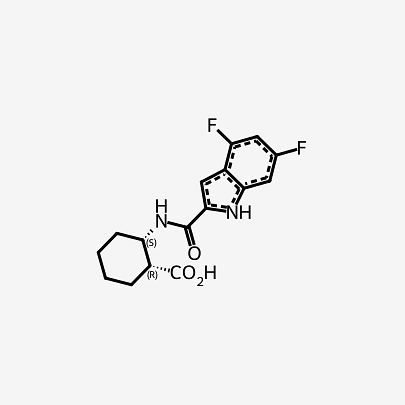 O=C(N[C@H]1CCCC[C@H]1C(=O)O)c1cc2c(F)cc(F)cc2[nH]1